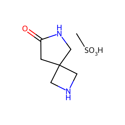 CS(=O)(=O)O.O=C1CC2(CNC2)CN1